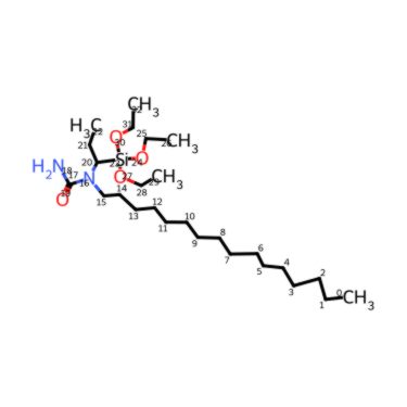 CCCCCCCCCCCCCCCCN(C(N)=O)C(CC)[Si](OCC)(OCC)OCC